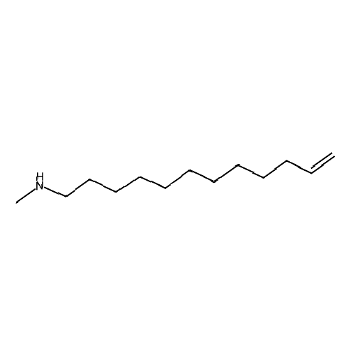 C=CCCCCCCCCCCNC